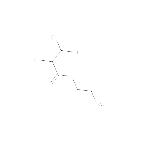 CCC(CC)C(CC)C(=O)OCCOC